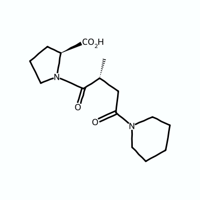 C[C@H](CC(=O)N1CCCCC1)C(=O)N1CCC[C@H]1C(=O)O